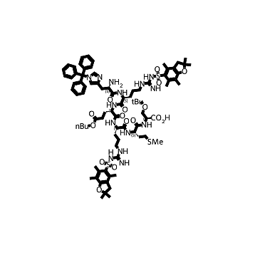 CCCCOC(=O)CC[C@H](NC(=O)[C@H](CCCNC(=N)NS(=O)(=O)c1c(C)c(C)c2c(c1C)CC(C)(C)O2)NC(=O)[C@@H](N)Cc1cn(C(c2ccccc2)(c2ccccc2)c2ccccc2)cn1)C(=O)N[C@@H](CCCNC(=N)NS(=O)(=O)c1c(C)c(C)c2c(c1C)CC(C)(C)O2)C(=O)N[C@@H](CCSC)C(=O)N[C@@H](COC(C)(C)C)C(=O)O